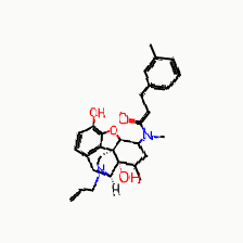 C=CCN1CC[C@]23c4c5ccc(O)c4OC2C(N(C)C(=O)CCc2cccc(C)c2)CC(C)[C@@]3(O)[C@H]1C5